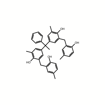 Cc1ccc(O)c(Cc2cc(C(C)(c3ccccc3)c3cc(C)c(O)c(Cc4cc(C)ccc4O)c3)cc(C)c2O)c1